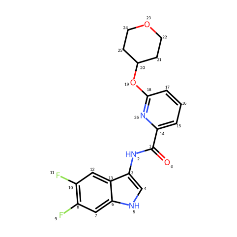 O=C(Nc1c[nH]c2cc(F)c(F)cc12)c1cccc(OC2CCOCC2)n1